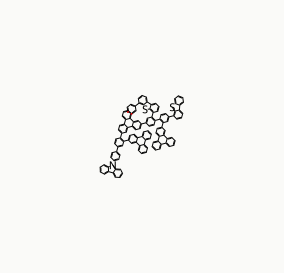 c1ccc(-c2cccc3c2sc2c(-c4cc(-c5ccc6c(c5)c5ccccc5c5ccc(-c7ccc(-c8ccc(-n9c%10ccccc%10c%10ccccc%109)cc8)cc7-c7ccc8c9ccccc9c9ccccc9c8c7)cc56)ccc4-c4ccc(-c5cccc6c5sc5ccccc56)cc4-c4ccc5c6ccccc6c6ccccc6c5c4)cccc23)cc1